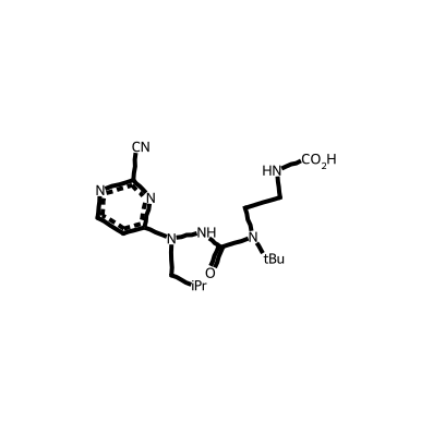 CC(C)CN(NC(=O)N(CCNC(=O)O)C(C)(C)C)c1ccnc(C#N)n1